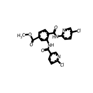 COC(=O)c1ccc(C(=O)Nc2ccc(Cl)cn2)c(NC(=O)c2ccc(Cl)nc2)c1